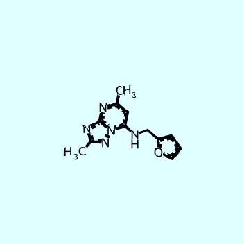 Cc1cc(NCc2ccco2)n2nc(C)nc2n1